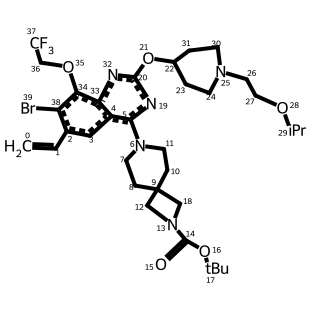 C=Cc1cc2c(N3CCC4(CC3)CN(C(=O)OC(C)(C)C)C4)nc(OC3CCN(CCOC(C)C)CC3)nc2c(OCC(F)(F)F)c1Br